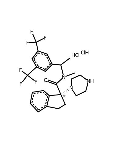 CC(c1cc(C(F)(F)F)cc(C(F)(F)F)c1)N(C)C(=O)[C@@]1(N2CCNCC2)CCc2ccccc21.Cl.Cl